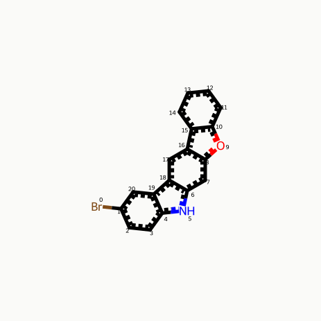 Brc1ccc2[nH]c3cc4oc5ccccc5c4cc3c2c1